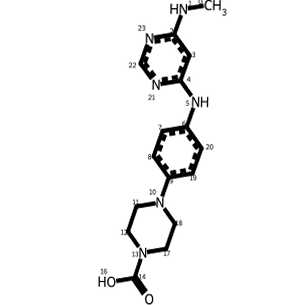 CNc1cc(Nc2ccc(N3CCN(C(=O)O)CC3)cc2)ncn1